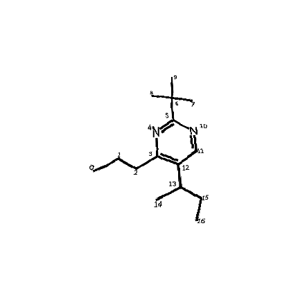 CCCc1nc(C(C)(C)C)ncc1C(C)CC